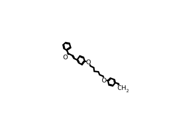 C=Cc1ccc(OCCCCCCOc2ccc(C=CC(=O)c3ccccc3)cc2)cc1